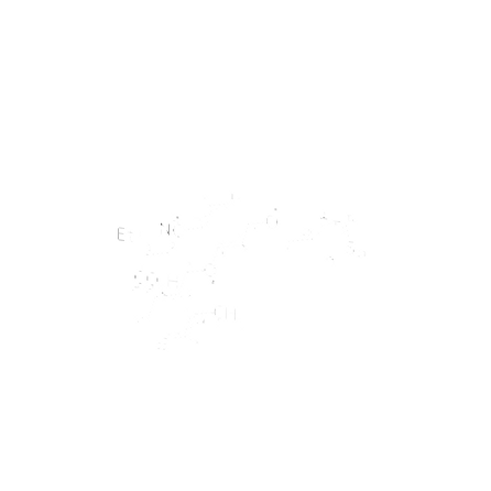 CCC(CC(Oc1cc(OCc2ccsc2)ccc1C#N)c1ccccc1C)C(=O)O